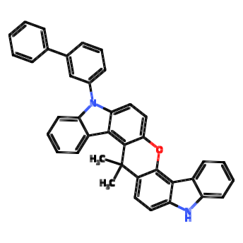 CC1(C)c2ccc3[nH]c4ccccc4c3c2Oc2ccc3c(c21)c1ccccc1n3-c1cccc(-c2ccccc2)c1